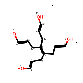 OC=CCC(CC=CO)=C(CC=CO)CC=CO